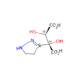 O=C(O)[C@H](O)[C@@](O)(C(=O)O)[Si]1=NNCC1